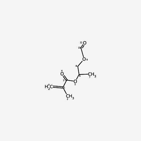 C=C(C)C(=O)OC(C)COC=O